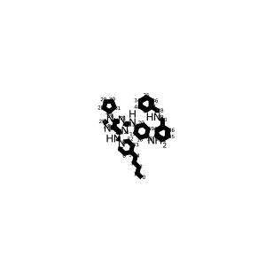 CCCCCC1CCN(Nc2nc(NC3CCC(N)CC3)nc3c2ncn3C2CCCC2)CC1.c1ccc(CNCc2ccccc2)cc1